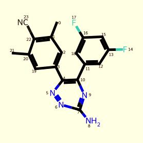 Cc1cc(-c2nnc(N)nc2-c2cc(F)cc(F)c2)cc(C)c1C#N